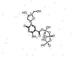 Nc1nc(=O)n([C@H]2C[C@H](O)[C@@H](CO)O2)cc1C(=O)OP(=O)(O)OP(=O)(O)OP(=O)(O)O